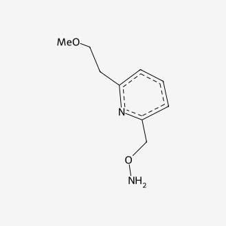 COCCc1cccc(CON)n1